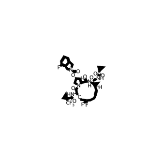 O=C1N[C@]2(C(=O)NS(=O)(=O)C3CC3)C[C@H]2/C=C\CCC(F)(F)CC[C@H](NC(=O)C2(C(F)(F)F)CC2)C(=O)N2C[C@H](OC(=O)N3Cc4cccc(F)c4C3)C[C@@H]12